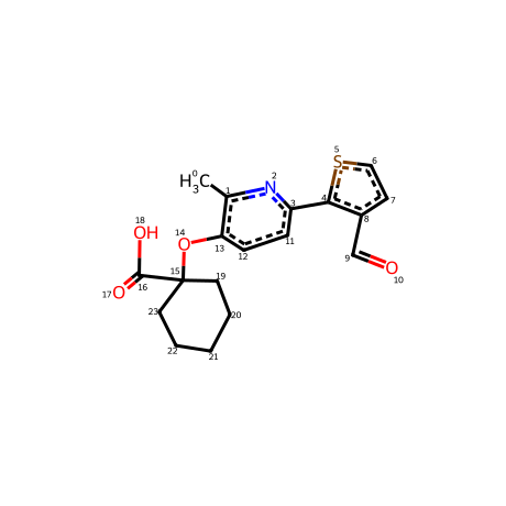 Cc1nc(-c2sccc2C=O)ccc1OC1(C(=O)O)CCCCC1